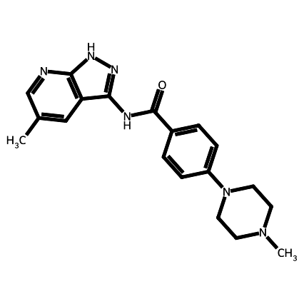 Cc1cnc2[nH]nc(NC(=O)c3ccc(N4CCN(C)CC4)cc3)c2c1